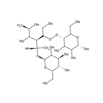 CCC[C@@](C)(O[C@@H]1OC(CO)[C@@H](O)[C@H](O)C1O)[C@H](C(CO)OO[C@@H]1C(CO)O[C@H](O)C(O)C1O)C(O)[C@@H](C)O